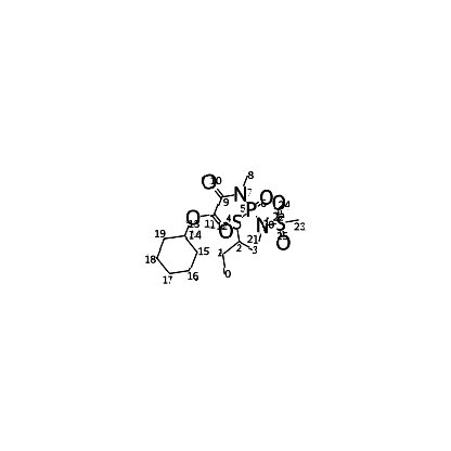 CCC(C)SP(=O)(N(C)C(=O)C(=O)OC1CCCCC1)N(C)S(C)(=O)=O